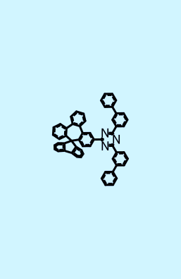 c1ccc(-c2cccc(-c3nc(-c4cccc(-c5ccccc5)c4)nc(-c4ccc5c(c4)-c4ccccc4-c4ccccc4C54c5ccccc5-c5ccccc54)n3)c2)cc1